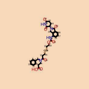 O=C(O)CCN(Cc1ccccc1)C(=O)CCSSCCOC(=O)Nc1cccc2c1CN(C1CCC(=O)NC1=O)C2=O